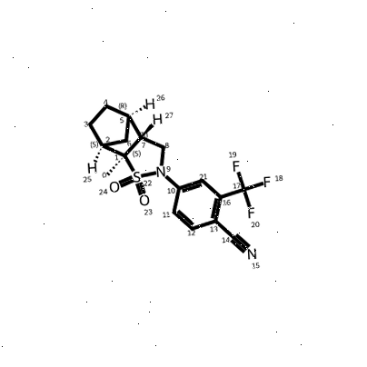 C[C@]12[C@H]3[CH]C[C@H](C3)[C@@H]1CN(c1ccc(C#N)c(C(F)(F)F)c1)S2(=O)=O